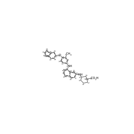 Cc1cc(Nc2ncnc3ccc(N[C@@H]4CCCN(C(=O)O)C4)nc23)ccc1Oc1ccn2ncnc2c1